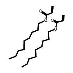 C=CC(=O)OCCCCCCCCC.C=CC(=O)OCCCCCCCCC